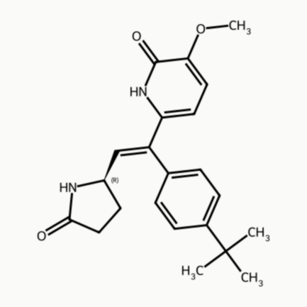 COc1ccc(C(=C[C@H]2CCC(=O)N2)c2ccc(C(C)(C)C)cc2)[nH]c1=O